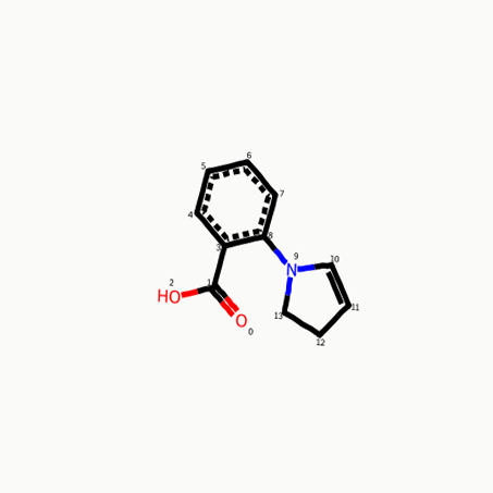 O=C(O)c1ccccc1N1C=CCC1